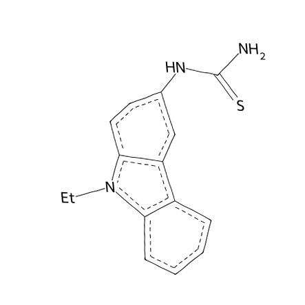 CCn1c2ccccc2c2cc(NC(N)=S)ccc21